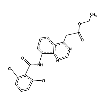 CCOC(=O)Cc1ncnc2c(NC(=O)c3c(Cl)cccc3Cl)cccc12